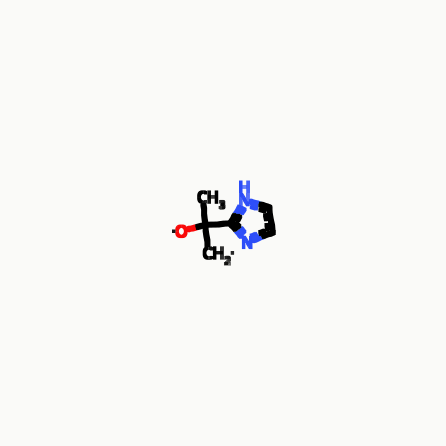 [CH2]C(C)([O])c1ncc[nH]1